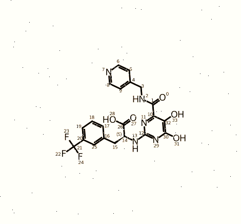 O=C(NCc1ccncc1)c1nc(N[C@@H](Cc2cccc(C(F)(F)F)c2)C(=O)O)nc(O)c1O